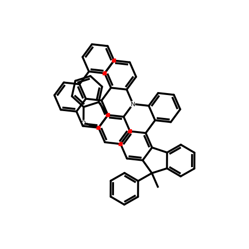 CC1(c2ccccc2)c2ccccc2-c2c(-c3ccccc3N(c3ccccc3-c3cccc4cccc(-c5ccccc5)c34)c3cccc4oc5ccccc5c34)cccc21